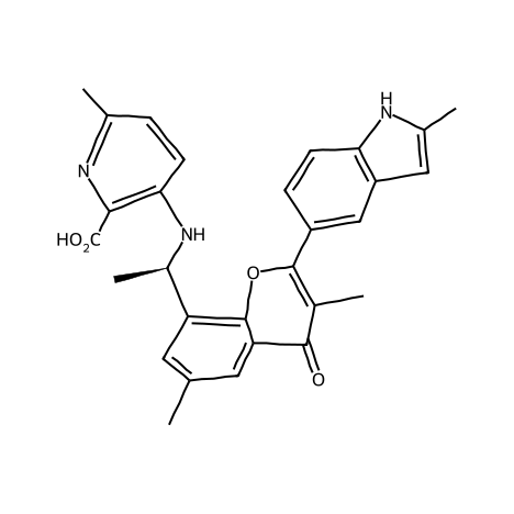 Cc1cc([C@@H](C)Nc2ccc(C)nc2C(=O)O)c2oc(-c3ccc4[nH]c(C)cc4c3)c(C)c(=O)c2c1